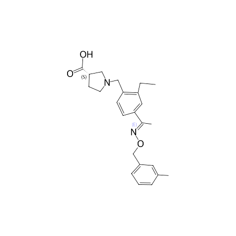 CCc1cc(/C(C)=N/OCc2cccc(C)c2)ccc1CN1CC[C@H](C(=O)O)C1